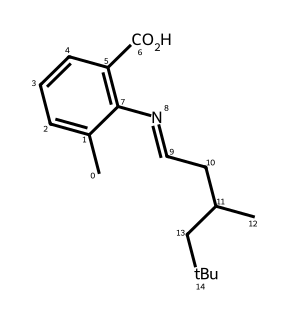 Cc1cccc(C(=O)O)c1N=CCC(C)CC(C)(C)C